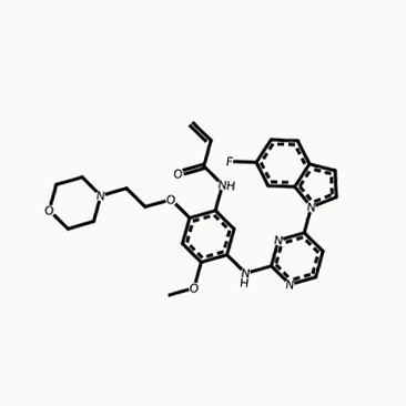 C=CC(=O)Nc1cc(Nc2nccc(-n3ccc4ccc(F)cc43)n2)c(OC)cc1OCCN1CCOCC1